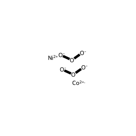 [Co+2].[Ni+2].[O-]O[O-].[O-]O[O-]